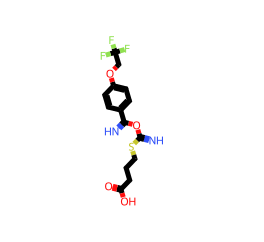 N=C(OC(=N)c1ccc(OCC(F)(F)F)cc1)SCCCC(=O)O